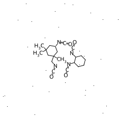 CC1(C)CC(N=C=O)CC(C)(CN=C=O)C1.O=C=NC1CCCCC1N=C=O